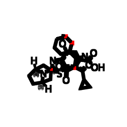 COc1cc(C(=O)O)cc2sc(N3[C@@H]4CC[C@H]3C[C@H](OC(=O)c3c(C56CCC(CC5)CC6)noc3C3CC3)C4)nc12